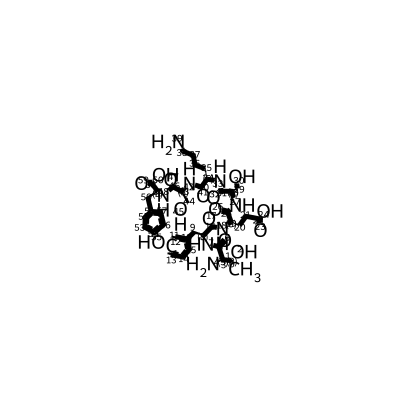 C[C@@H](O)[C@H](N)C(=O)N[C@@H](Cc1ccccc1)C(=O)N[C@@H](CCC(=O)O)C(=O)N[C@@H](CO)C(=O)N[C@@H](CCCCN)C(=O)N[C@@H](CO)C(=O)N[C@@H](Cc1ccc(O)cc1)C(=O)O